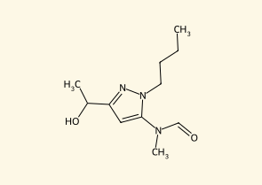 CCCCn1nc(C(C)O)cc1N(C)C=O